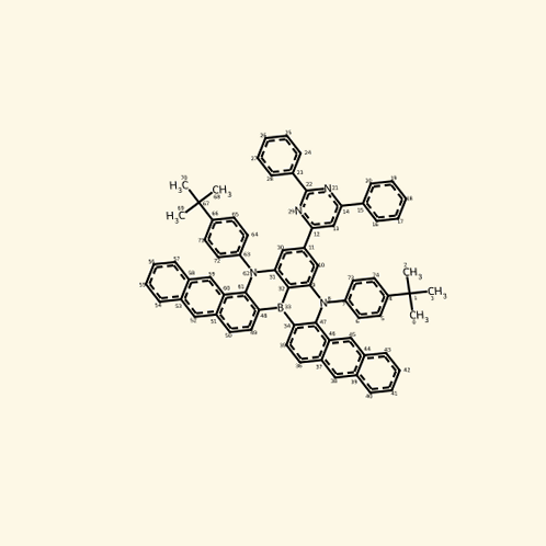 CC(C)(C)c1ccc(N2c3cc(-c4cc(-c5ccccc5)nc(-c5ccccc5)n4)cc4c3B(c3ccc5cc6ccccc6cc5c32)c2ccc3cc5ccccc5cc3c2N4c2ccc(C(C)(C)C)cc2)cc1